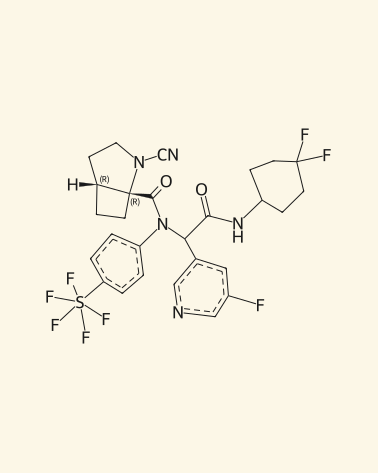 N#CN1CC[C@H]2CC[C@]21C(=O)N(c1ccc(S(F)(F)(F)(F)F)cc1)C(C(=O)NC1CCC(F)(F)CC1)c1cncc(F)c1